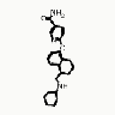 NC(=O)c1ccc(Oc2cccc3c2CCCC3CNC2CCCCC2)nc1